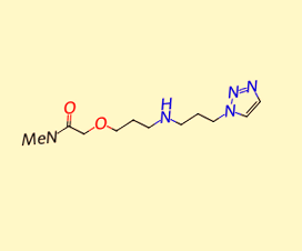 CNC(=O)COCCCNCCCn1ccnn1